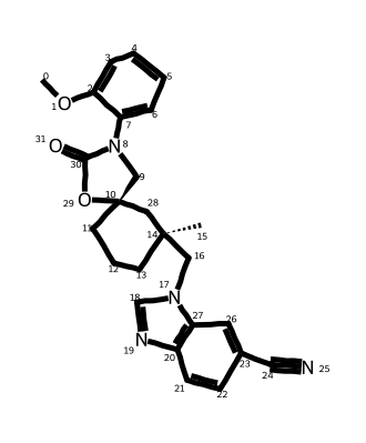 COc1ccccc1N1C[C@@]2(CCC[C@](C)(Cn3cnc4ccc(C#N)cc43)C2)OC1=O